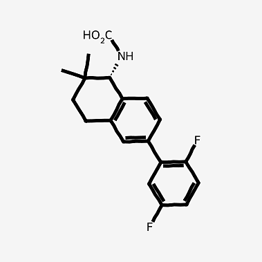 CC1(C)CCc2cc(-c3cc(F)ccc3F)ccc2[C@H]1NC(=O)O